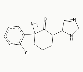 NC1(c2ccccc2Cl)CCCC(C2C=NCN2)C1=O